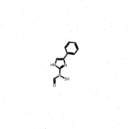 O=CN(S)c1nc(-c2ccccc2)c[nH]1